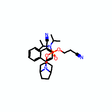 CC(C)N(C(C)C)P(=O)(OCCC#N)OC1CC2CCC(C1)N2c1ccc(C#N)c2ccccc12